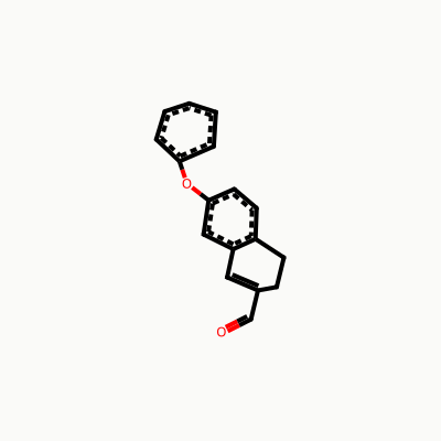 O=CC1=Cc2cc(Oc3ccccc3)ccc2CC1